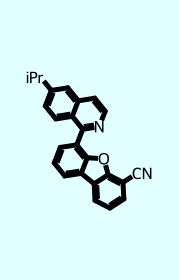 CC(C)c1ccc2c(-c3cccc4c3oc3c(C#N)cccc34)nccc2c1